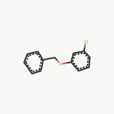 Clc1cccc(OCc2ccccc2)c1